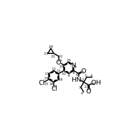 CCC(CC)(NC(=O)c1cc(-c2ccc(Cl)c(Cl)c2)c(OCC2CC2)cn1)C(=O)O